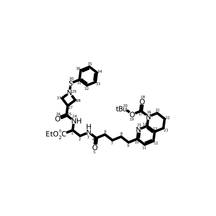 CCOC(=O)C(CNC(=O)CCCCc1ccc2c(n1)N(C(=O)OC(C)(C)C)CCC2)NC(=O)C1CN(Sc2ccccc2)C1